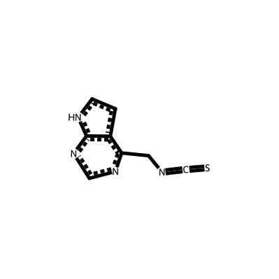 S=C=NCc1ncnc2[nH]ccc12